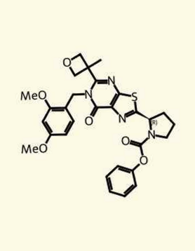 COc1ccc(Cn2c(C3(C)COC3)nc3sc([C@H]4CCCN4C(=O)Oc4ccccc4)nc3c2=O)c(OC)c1